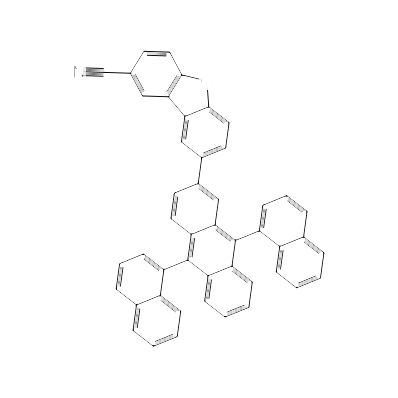 N#Cc1ccc2oc3ccc(-c4ccc5c(-c6cccc7ccccc67)c6ccccc6c(-c6cccc7ccccc67)c5c4)cc3c2c1